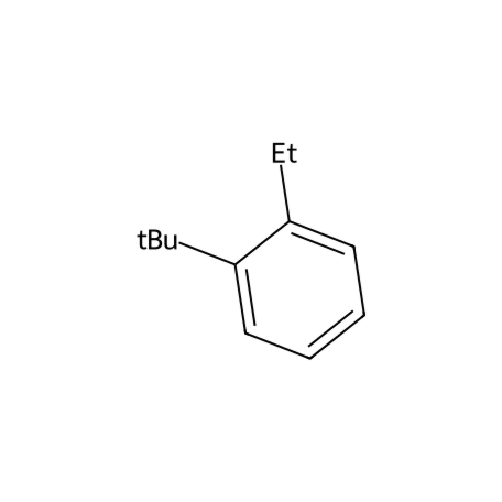 [CH2]Cc1ccccc1C(C)(C)C